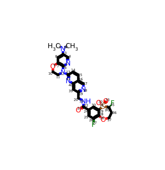 CN(C)c1cnc2c(c1)OCCN2c1ccc2cnc(CNC(=O)c3cc(F)c4c(c3)S(=O)(=O)[C@@H](F)CCO4)cc2n1